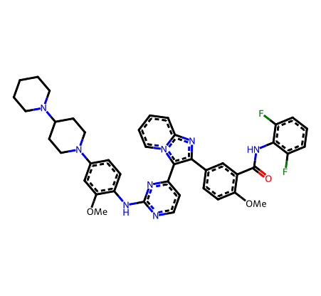 COc1cc(N2CCC(N3CCCCC3)CC2)ccc1Nc1nccc(-c2c(-c3ccc(OC)c(C(=O)Nc4c(F)cccc4F)c3)nc3ccccn23)n1